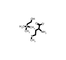 CSCCC(N)C(=O)[O-].C[N+](C)(C)CCO